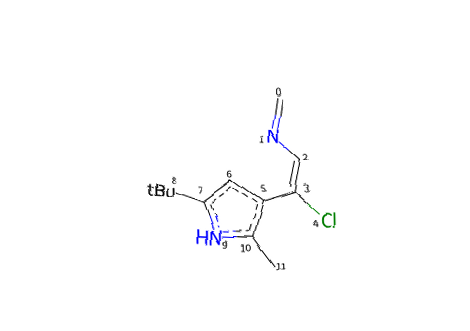 C=N/C=C(/Cl)c1cc(C(C)(C)C)[nH]c1C